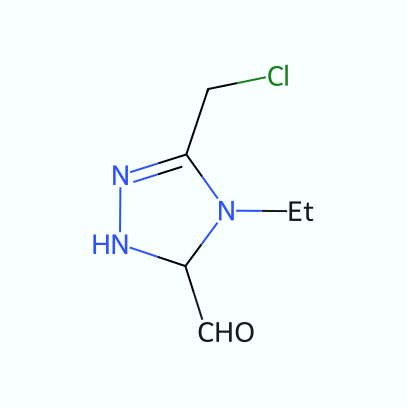 CCN1C(CCl)=NNC1C=O